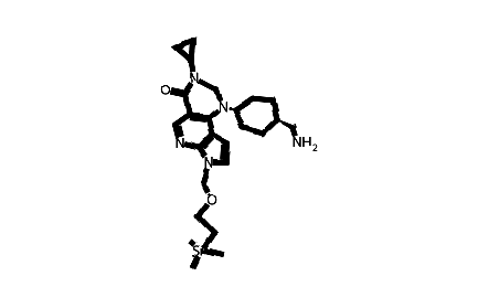 C[Si](C)(C)CCOCn1ccc2c3c(cnc21)C(=O)N(C1CC1)CN3[C@H]1CC[C@H](CN)CC1